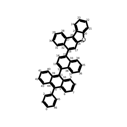 c1ccc(-c2c3ccccc3c(-c3ccc(-c4cc5oc6ccccc6c5c5ccccc45)c4ccccc34)c3ccccc23)cc1